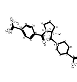 C[C@@]1(C(=O)N2CCC(C(=O)C(=O)O)CC2)CCCN1C(=O)c1ccc(C(=N)N)cc1